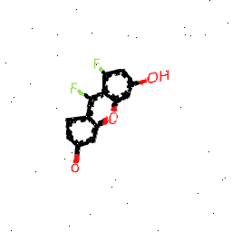 O=c1ccc2c(F)c3c(F)cc(O)cc3oc-2c1